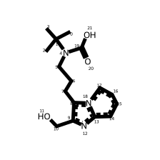 CC(C)(C)N(CCCc1c(CO)nc2ccccn12)C(=O)O